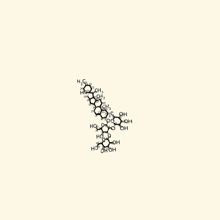 CC1O[C@@H](OC2[C@H](O[C@H]3CC[C@@]4(C)C(=CCC5C6CC7C[C@]8(CC[C@@H](C)CN8)[C@@H](C)C7[C@@]6(C)CCC54)C3)OC(CO)[C@H](O)[C@@H]2O[C@@H]2OC(CO)[C@@H](O)[C@H](O)C2O)C(O)[C@@H](O)[C@H]1O